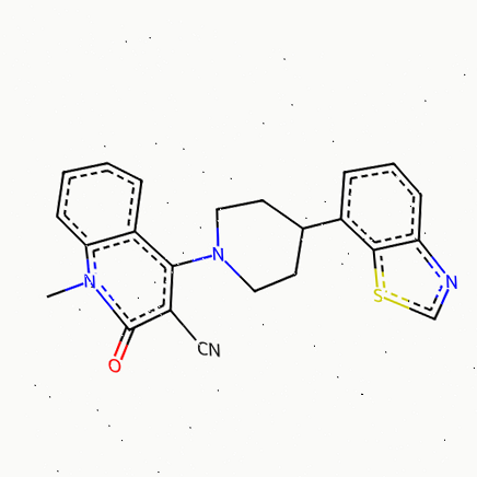 Cn1c(=O)c(C#N)c(N2CCC(c3cccc4ncsc34)CC2)c2ccccc21